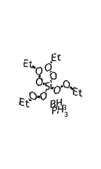 B.CCOO[Si](OOCC)(OOCC)OOCC.P